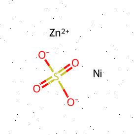 O=S(=O)([O-])[O-].[Ni].[Zn+2]